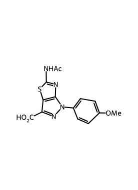 COc1ccc(-n2nc(C(=O)O)c3sc(NC(C)=O)nc32)cc1